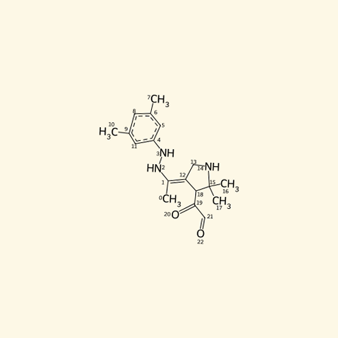 CC(NNc1cc(C)cc(C)c1)=C1CNC(C)(C)C1C(=O)C=O